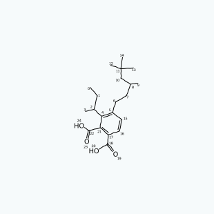 CCC(C)c1c(CCC(C)CC(C)(C)C)ccc(C(=O)O)c1C(=O)O